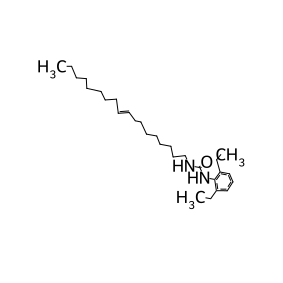 CCCCCCCCC=CCCCCCCCCNC(=O)Nc1c(CC)cccc1CC